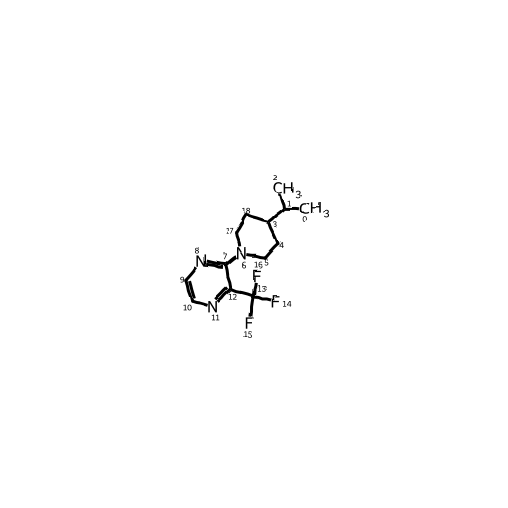 CC(C)C1CCN(c2nccnc2C(F)(F)F)CC1